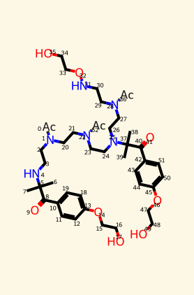 CC(=O)N(CCNC(C)(C)C(=O)c1ccc(OCCO)cc1)CCN(CCN(CCN(CCNOCCO)C(C)=O)C(C)(C)C(=O)c1ccc(OCCO)cc1)C(C)=O